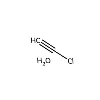 C#CCl.O